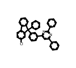 Clc1ccc2c(c1)C(c1ccccc1)(c1cccc(-c3cc(-c4ccccc4)nc(-c4ccccc4)n3)c1)c1ccccc1-2